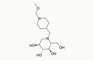 COCN1CCC(CN2C[C@H](O)[C@@H](O)[C@H](O)C2CO)CC1